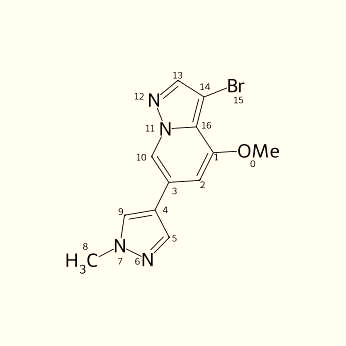 COc1cc(-c2cnn(C)c2)cn2ncc(Br)c12